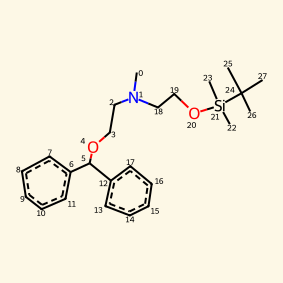 CN(CCOC(c1ccccc1)c1ccccc1)CCO[Si](C)(C)C(C)(C)C